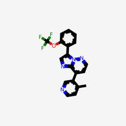 Cc1ccncc1-c1ccnn2c(-c3ccccc3OC(F)(F)F)cnc12